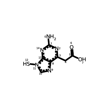 Nc1nc(CC(=O)O)c2ncn(S)c2n1